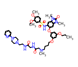 CCCOc1cc(OCCCCN(C)CC(=O)NCC(=O)NCCN2CCN(c3ccccn3)CC2)cc(Oc2cc3c(cc2NS(=O)(=O)c2ccc(OC)c(OC)c2)n(C)c(=O)n3C)c1